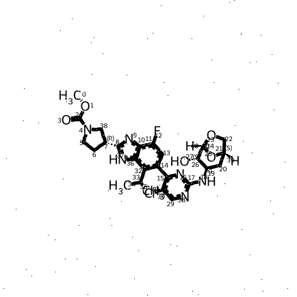 COC(=O)N1CC[C@@H](c2nc3c(F)cc(-c4nc(N[C@@H]5C[C@H]6CO[C@H](O6)[C@H]5O)ncc4Cl)c(C(C)C)c3[nH]2)C1